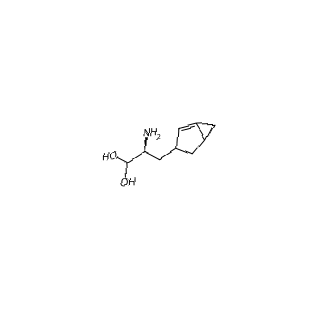 N[C@@H](CC1C=C2CC2C1)C(O)O